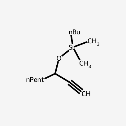 C#CC(CCCCC)O[Si](C)(C)CCCC